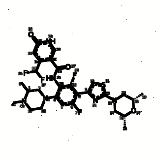 CC1CN(c2cc(F)c(-c3csc(N4C[C@@H](C)O[C@@H](C)C4)n3)c(F)c2NC(=O)c2c[nH]c(=O)cc2C(F)F)CCN1C